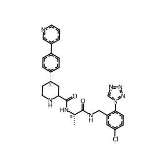 C[C@H](NC(=O)C1C[C@@H](c2ccc(-c3cccnc3)cc2)CCN1)C(=O)NCc1cc(Cl)ccc1-n1cnnn1